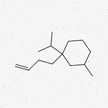 C=CCCC1(C(C)C)CCCC(C)C1